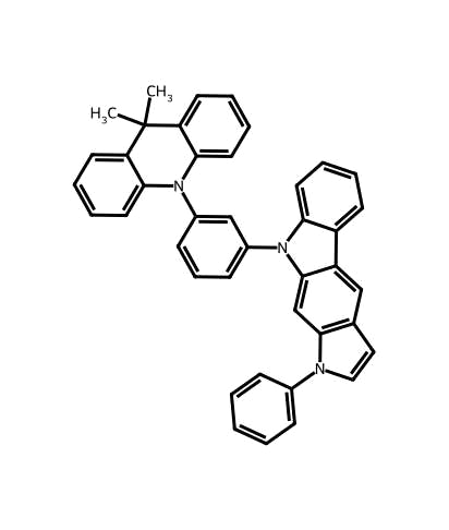 CC1(C)c2ccccc2N(c2cccc(-n3c4ccccc4c4cc5ccn(-c6ccccc6)c5cc43)c2)c2ccccc21